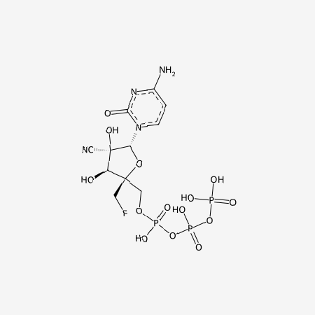 N#C[C@@]1(O)[C@H](O)[C@@](CF)(COP(=O)(O)OP(=O)(O)OP(=O)(O)O)O[C@H]1n1ccc(N)nc1=O